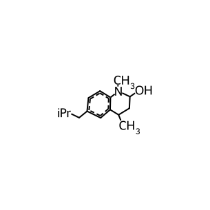 CC(C)Cc1ccc2c(c1)C(C)CC(O)N2C